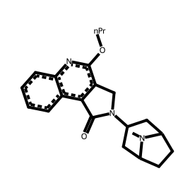 CCCOc1nc2ccccc2c2c1CN(C1CC3CCC(C1)N3C)C2=O